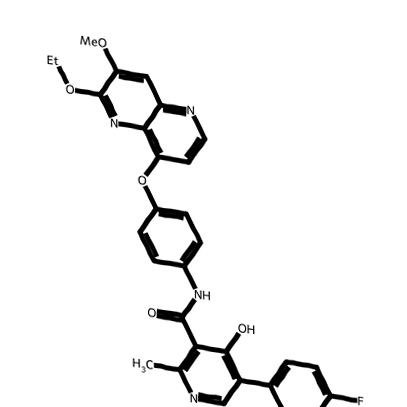 CCOc1nc2c(Oc3ccc(NC(=O)c4c(C)ncc(-c5ccc(F)cc5)c4O)cc3)ccnc2cc1OC